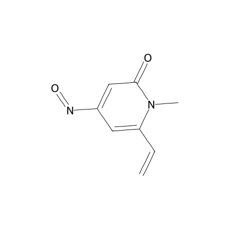 C=Cc1cc(N=O)cc(=O)n1C